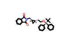 CC(C)(C)[Si](OCC[C@@H]1C[C@H]1CN1C(=O)c2ccccc2C1=O)(c1ccccc1)c1ccccc1